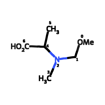 COCN(C)C(C)C(=O)O